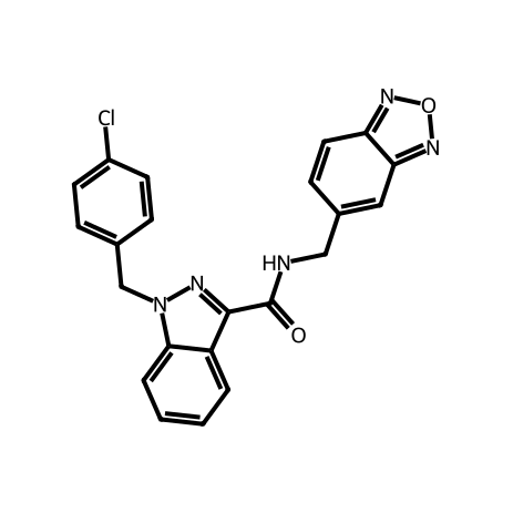 O=C(NCc1ccc2nonc2c1)c1nn(Cc2ccc(Cl)cc2)c2ccccc12